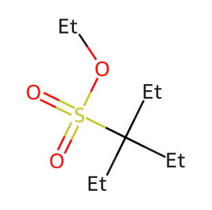 CCOS(=O)(=O)C(CC)(CC)CC